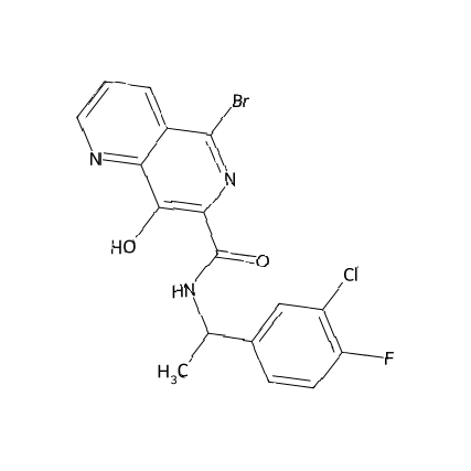 CC(NC(=O)c1nc(Br)c2cccnc2c1O)c1ccc(F)c(Cl)c1